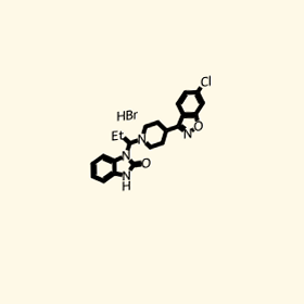 Br.CCC(N1CCC(c2noc3cc(Cl)ccc23)CC1)n1c(=O)[nH]c2ccccc21